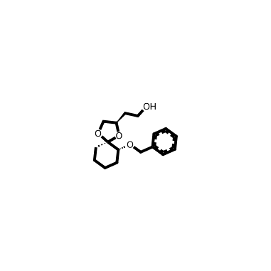 OCC[C@@H]1CO[C@@]2(CCCC[C@H]2OCc2ccccc2)O1